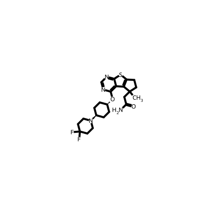 CC1(CC(N)=O)CCc2sc3ncnc(O[C@H]4CC[C@H](N5CCC(F)(F)CC5)CC4)c3c21